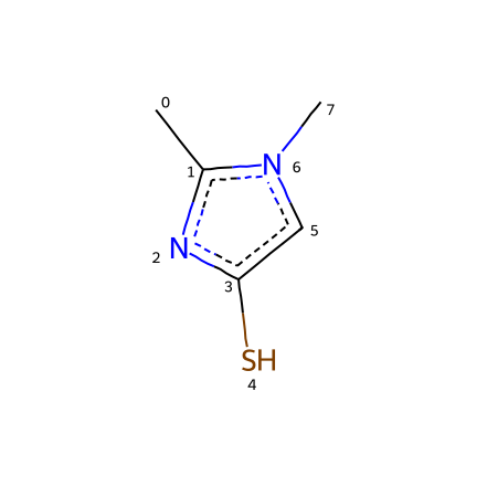 Cc1nc(S)cn1C